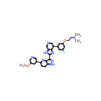 COc1cncc(-c2ccc3[nH]nc(-c4nc5c(-c6cc(F)cc(OCCN(C)C)c6)cncc5[nH]4)c3n2)c1